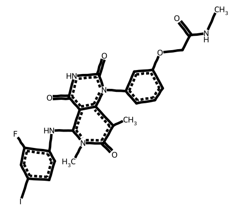 CNC(=O)COc1cccc(-n2c(=O)[nH]c(=O)c3c(Nc4ccc(I)cc4F)n(C)c(=O)c(C)c32)c1